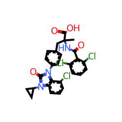 CC(Cc1ccc(-n2c(=O)n(C3CC3)c3cccc(Cl)c32)cc1)(NC(=O)c1c(Cl)cccc1Cl)C(=O)O